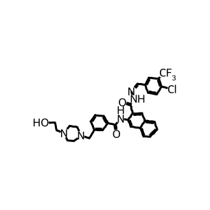 O=C(Nc1cc2ccccc2cc1C(=O)N/N=C\c1ccc(Cl)c(C(F)(F)F)c1)c1cccc(CN2CCN(CCO)CC2)c1